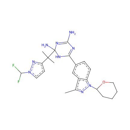 Cc1nn(C2CCCCO2)c2ccc(C3=NC(N)=NC(N)(C(C)(C)c4ccn(C(F)F)n4)N3)cc12